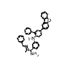 CN(/N=C/c1ccccc1)C(N)c1cccc(Nc2ccc(-c3ccc4oc5ccccc5c4c3)cc2-c2ccccc2)c1